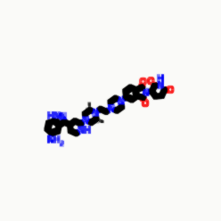 C[C@@H]1CN(C2CC(c3n[nH]c4ccc(N)cc34)CCN2)C[C@H](C)N1CCN1CCN(c2ccc3c(c2)C(=O)N(C2CCC(=O)NC2=O)C3=O)CC1